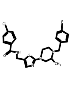 CC1CN(c2ncc(CNC(=O)c3ccc(Cl)cc3)s2)CCN1Cc1ccc(F)cc1